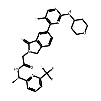 C[C@@H](NC(=O)CN1Cc2ccc(-c3nc(NC4CCOCC4)ncc3Cl)cc2C1=O)c1cccc(C(F)(F)F)n1